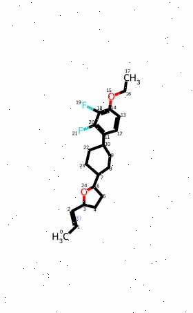 C/C=C/C1CCC(C2CCC(c3ccc(OCC)c(F)c3F)CC2)O1